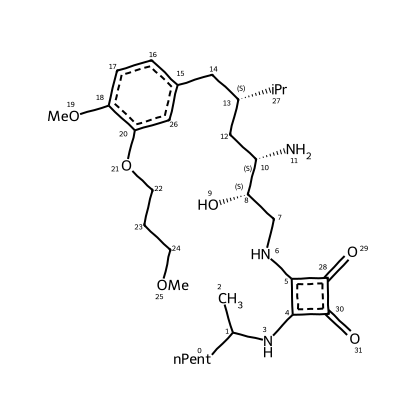 CCCCCC(C)Nc1c(NC[C@H](O)[C@@H](N)C[C@H](Cc2ccc(OC)c(OCCCOC)c2)C(C)C)c(=O)c1=O